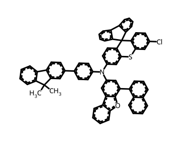 CC1(C)c2ccccc2-c2ccc(-c3ccc(N(c4ccc5c(c4)Sc4cc(Cl)ccc4C54c5ccccc5-c5ccccc54)c4cc(-c5cccc6ccccc56)c5oc6ccccc6c5c4)cc3)cc21